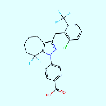 O=C(O)c1ccc(-n2nc(Cc3c(Cl)cccc3C(F)(F)F)c3c2C(F)(F)CCCC3)cc1